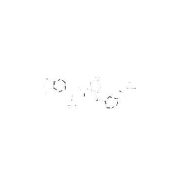 C[C@@H]1C[C@H](C(=O)N[C@@H](c2ccc(C(F)(F)F)c(F)c2)C2CC2)N(C(=O)c2cccc(S(=O)(=O)C3CC3)c2)C1